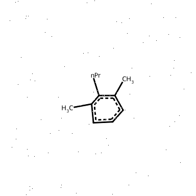 CCCc1c(C)[c]ccc1C